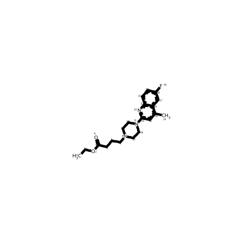 CCOC(=O)CCCN1CCN(c2cc(C)c3cc(F)ccc3n2)CC1